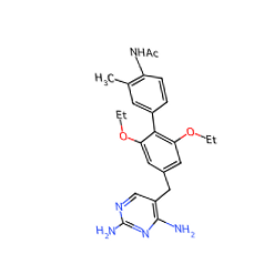 CCOc1cc(Cc2cnc(N)nc2N)cc(OCC)c1-c1ccc(NC(C)=O)c(C)c1